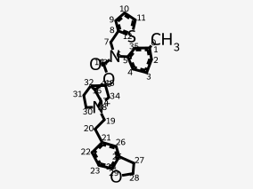 Cc1cccc(N(Cc2cccs2)C(=O)OC2C[N+]3(CCc4ccc5c(c4)CCO5)CCC2CC3)c1